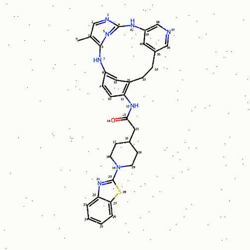 Cc1cnc2nc1Nc1ccc(NC(=O)CC3CCN(c4nc5ccccc5s4)CC3)c(c1)CCc1cncc(c1)N2